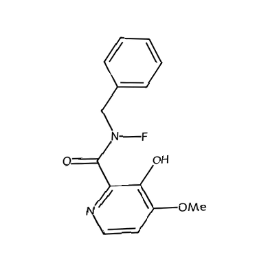 COc1ccnc(C(=O)N(F)Cc2ccccc2)c1O